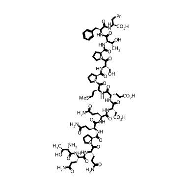 CSCC[C@H](NC(=O)[C@H](CCC(=O)O)NC(=O)[C@H](CC(=O)O)NC(=O)[C@H](CCC(N)=O)NC(=O)[C@H](CCC(N)=O)NC(=O)[C@@H]1CCCN1C(=O)[C@H](CCC(N)=O)NC(=O)[C@H](CCC(N)=O)NC(=O)[C@@H](N)[C@@H](C)O)C(=O)N1CCC[C@H]1C(=O)N[C@@H](CO)C(=O)N1CCC[C@H]1C(=O)N[C@H](C(=O)N[C@@H](Cc1ccccc1)C(=O)N[C@@H](CC(C)C)C(=O)O)[C@@H](C)O